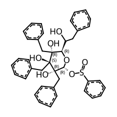 O=S(O[C@H]1O[C@H](C(O)Cc2ccccc2)[C@](O)(Cc2ccccc2)[C@@](O)(Cc2ccccc2)[C@]1(O)Cc1ccccc1)c1ccccc1